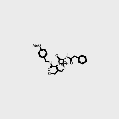 COc1ccc(COC(=O)C2=C(CCl)CS[C@H]3[C@H](NC(=O)Cc4ccccc4)C(=O)N23)cc1